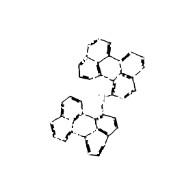 c1cc2cccc3c4c([N]c5ccc6cccc7c8cccc9cccc(c5c67)c98)ccc5cccc(c(c1)c23)c54